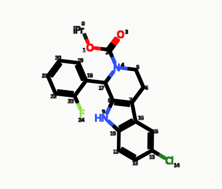 CC(C)OC(=O)N1CCc2c([nH]c3ccc(Cl)cc23)C1c1ccccc1F